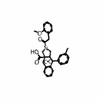 COc1ccccc1CC(=O)N1CC2C3(c4cccc(C)c4)CCC(c4ccccc43)C2(C(=O)O)C1